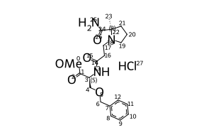 COC(=O)[C@H](COCc1ccccc1)NC(=O)CCN1CCC[C@]1(C)C(N)=O.Cl